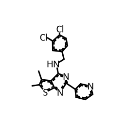 Cc1sc2nc(-c3cccnc3)nc(NCc3ccc(Cl)c(Cl)c3)c2c1C